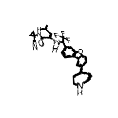 CC(C)CC(NC(c1ccc2c(c1)oc1ccc(C3=CCNCC3)cc12)C(F)(F)F)C(=O)NC1(C#N)CC1